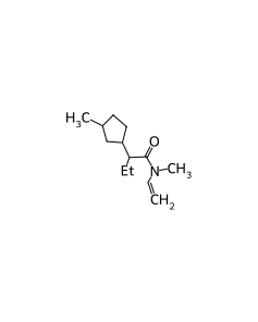 C=CN(C)C(=O)C(CC)C1CCC(C)C1